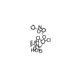 O=C(O)[C@H](Cc1cc(Cl)c(OCc2cccc3nc(-c4ccccc4)oc23)c(Cl)c1)NC(=O)C(F)(F)F